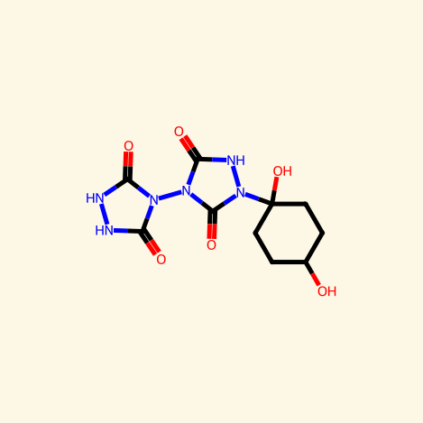 O=c1[nH][nH]c(=O)n1-n1c(=O)[nH]n(C2(O)CCC(O)CC2)c1=O